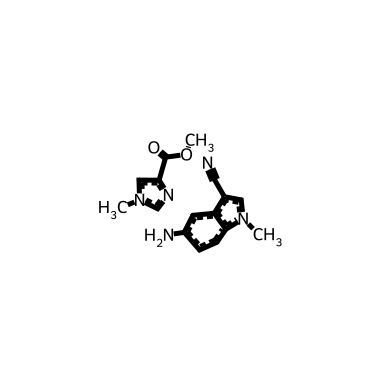 COC(=O)c1cn(C)cn1.Cn1cc(C#N)c2cc(N)ccc21